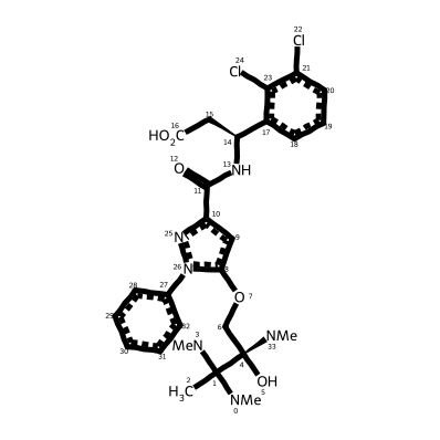 CNC(C)(NC)[C@@](O)(COc1cc(C(=O)N[C@@H](CC(=O)O)c2cccc(Cl)c2Cl)nn1-c1ccccc1)NC